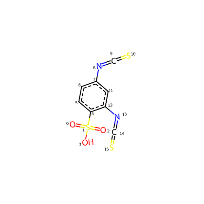 O=S(=O)(O)c1ccc(N=C=S)cc1N=C=S